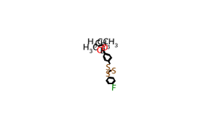 CC1(C)OB(c2ccc(CSC(=S)Sc3ccc(F)cc3)cc2)OC1(C)C